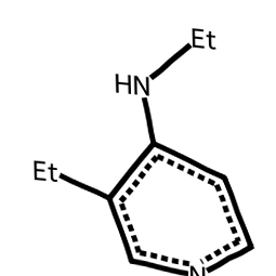 CCNc1ccncc1CC